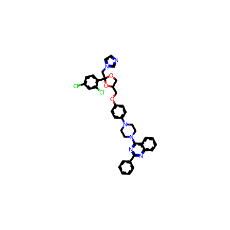 Clc1ccc(C2(Cn3ccnc3)OCC(COc3ccc(N4CCN(c5nc(-c6ccccc6)nc6ccccc56)CC4)cc3)O2)c(Cl)c1